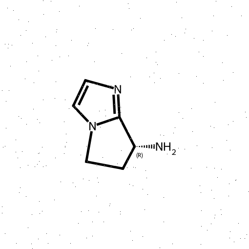 N[C@@H]1CCn2ccnc21